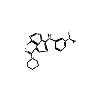 Cc1cccc2c(Nc3cccc(C(F)F)c3)ccc(C(=O)N3CCCCC3)c12